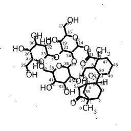 CC12CC[C@@H]3[C@](CCC4[C@](C)(C(=O)OC5OC(CO)C(O)C(OC6OC(CO)C(O)C(O)C6O)C5OC5OC(CO)C(O)C(O)C5O)CCC[C@]43C)(CC1=O)C2